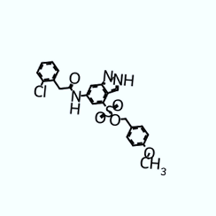 COc1ccc(COS(=O)(=O)c2cc(NC(=O)Cc3ccccc3Cl)cc3n[nH]cc23)cc1